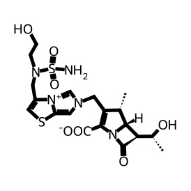 C[C@@H](O)[C@H]1C(=O)N2C(C(=O)[O-])=C(Cn3cc4scc(CN(CCO)S(N)(=O)=O)[n+]4c3)[C@H](C)[C@H]12